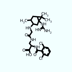 CC1CC2C(C)(C)C2(NC(=N)N)CC1NCC(=O)NCC(NC(=O)c1c(Cl)cccc1Cl)C(=O)O